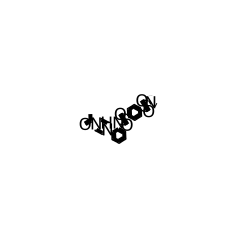 CC(=O)N1CCN(c2ccccc2NS(=O)(=O)c2ccc(S(=O)(=O)N(C)C)cc2)CC1